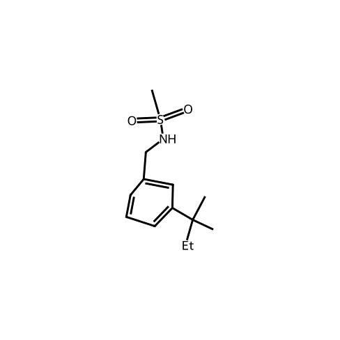 CCC(C)(C)c1cccc(CNS(C)(=O)=O)c1